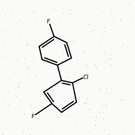 Fc1ccc(-c2cc(F)ccc2Cl)cc1